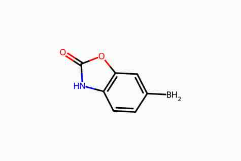 Bc1ccc2[nH]c(=O)oc2c1